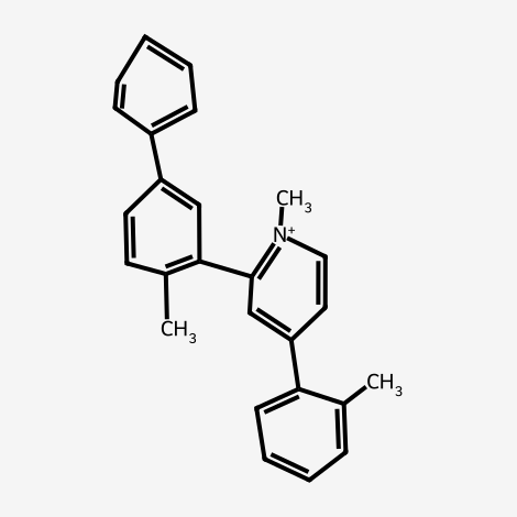 Cc1ccccc1-c1cc[n+](C)c(-c2cc(-c3ccccc3)ccc2C)c1